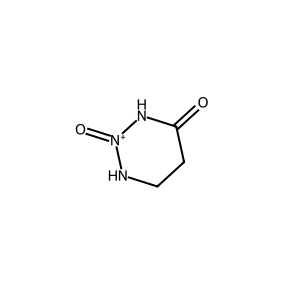 O=C1CCN[N+](=O)N1